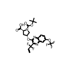 C=CC(F)(F)c1nc2cc(OC(F)(F)F)ccc2nc1O[C@@H]1C[C@@H](C(=O)O)N(C(=O)OC(C)(C)C)C1